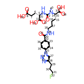 CN(C(=O)N[C@@H](CCC(=O)O)C(=O)O)[C@@H](CCCCNC(=O)c1ccc(-n2cc(CCCF)nn2)cc1)C(=O)O